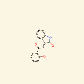 COc1ccccc1C(=O)/C=C1/C(=O)Nc2ccccc21